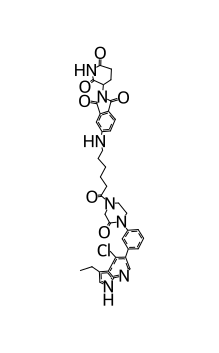 CCc1c[nH]c2ncc(-c3cccc(N4CCN(C(=O)CCCCCNc5ccc6c(c5)C(=O)N(C5CCC(=O)NC5=O)C6=O)CC4=O)c3)c(Cl)c12